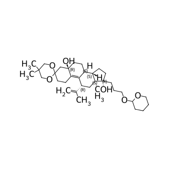 C=C(C)[C@H]1C[C@@]2(C)[C@@H](CC[C@@]2(O)CCCOC2CCCCO2)[C@@H]2CC[C@@]3(O)CC4(CCC3=C12)OCC(C)(C)CO4